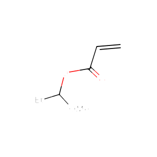 C=CC(=O)OC(CC)OC